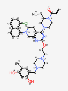 C=CC(=O)N1CCN(c2nc(OCCN3CCN(Cc4cc(C(C)C)c(O)cc4O)CC3)nc3c2CCN(c2cccc4cccc(Cl)c24)C3)CC1CC#N